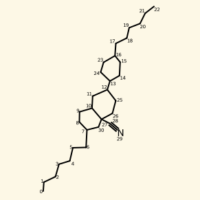 CCCCCCCC1CCC2CC(C3CCC(CCCCCC)CC3)CCC2(C#N)C1